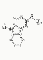 CCn1c2ccccc2c2cc(OC(F)(F)F)ccc21